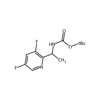 CC(NC(=O)OC(C)(C)C)c1ncc(F)cc1F